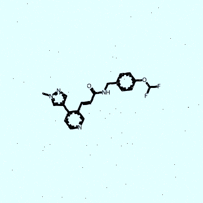 Cn1cc(-c2ccncc2C=CC(=O)NCc2ccc(OC(F)F)cc2)cn1